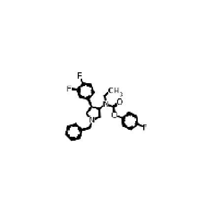 CCN(C(=O)Oc1ccc(F)cc1)C1CN(Cc2ccccc2)CC1c1ccc(F)c(F)c1